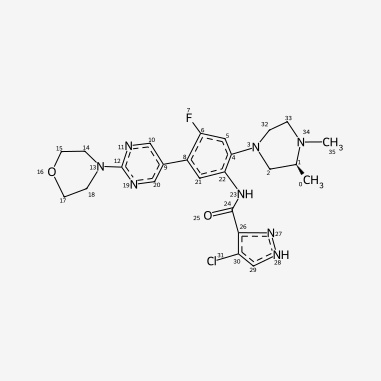 C[C@H]1CN(c2cc(F)c(-c3cnc(N4CCOCC4)nc3)cc2NC(=O)c2n[nH]cc2Cl)CCN1C